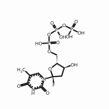 Cc1cn([C@@]2(F)C[C@H](O)[C@@H](COP(=O)(O)OP(=O)(O)OP(=O)(O)O)O2)c(=O)[nH]c1=O